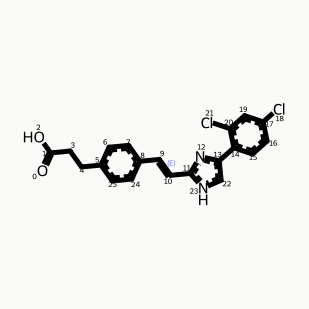 O=C(O)CCc1ccc(/C=C/c2nc(-c3ccc(Cl)cc3Cl)c[nH]2)cc1